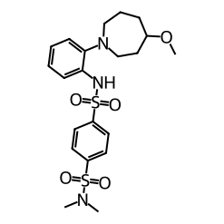 COC1CCCN(c2ccccc2NS(=O)(=O)c2ccc(S(=O)(=O)N(C)C)cc2)CC1